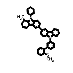 CSc1ccccc1-c1cccc(-n2c3ccccc3c3cc(-c4ccc5c(c4)c4c(n5C5=CCCC=C5)C(C)CC=C4)ccc32)c1